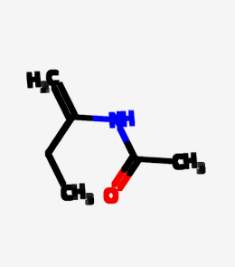 C=C(CC)NC(C)=O